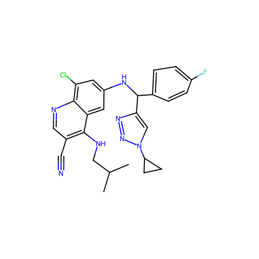 CC(C)CNc1c(C#N)cnc2c(Cl)cc(NC(c3ccc(F)cc3)c3cn(C4CC4)nn3)cc12